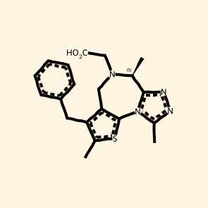 Cc1sc2c(c1Cc1ccccc1)CN(CC(=O)O)[C@@H](C)c1nnc(C)n1-2